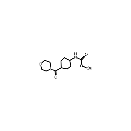 CC(C)(C)OC(=O)NC1CCC(C(=O)N2CCOCC2)CC1